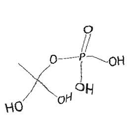 CC(O)(O)OP(=O)(O)O